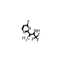 C=C(C(=N)C(F)(F)F)c1nccc(F)n1